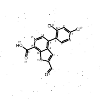 O=Cc1cc2c(-c3ccc(Cl)cc3Cl)cnc(C(=O)O)c2s1